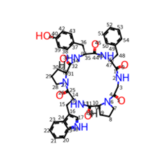 O=C1NCC(=O)N2CCC[C@H]2C(=O)N[C@@H](Cc2c[nH]c3ccccc23)C(=O)N2CCC[C@H]2C(=O)N[C@@H](Cc2ccc(O)cc2)C(=O)N[C@H]1Cc1ccccc1